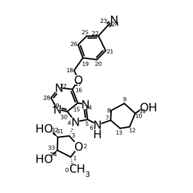 C[C@H]1O[C@@H](n2c(NC3CCC(O)CC3)nc3c(OCc4ccc(C#N)cc4)ncnc32)[C@H](O)[C@@H]1O